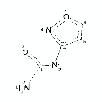 NC(=O)[N]c1ccon1